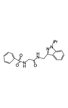 CC(C)n1nc(CNC(=O)CNS(=O)(=O)c2ccccc2)c2ccccc21